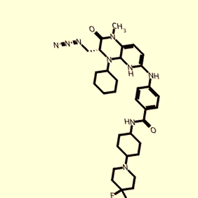 CN1C(=O)[C@@H](CN=[N+]=[N-])N(C2CCCCC2)C2NC(Nc3ccc(C(=O)NC4CCC(N5CCC(F)(F)CC5)CC4)cc3)=CC=C21